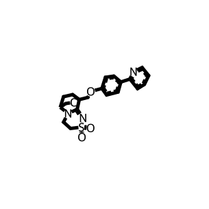 O=S1(=O)CCN2C(=N1)C1(COc3ccc(-c4ccccn4)cc3)CCC2CC1